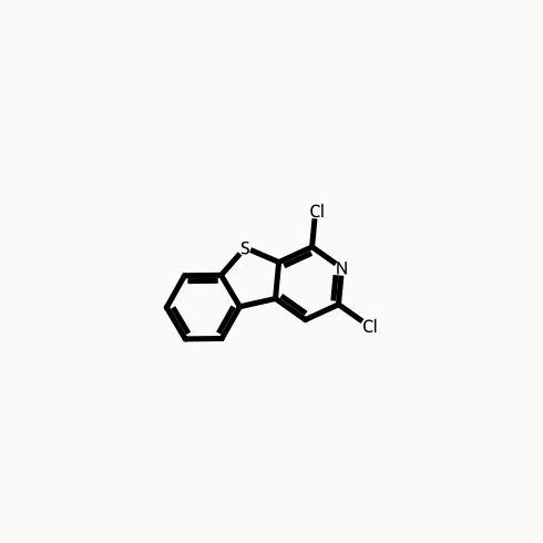 Clc1cc2c(sc3ccccc32)c(Cl)n1